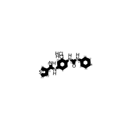 Cl.Cl.N=C(Nc1ccc(NC(=O)Nc2ccccc2)cc1)c1ccsc1